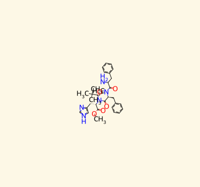 COC(=O)[C@H](Cc1c[nH]cn1)N(C(=O)[C@H](Cc1ccccc1)N(C)C(=O)[C@@H](N)Cc1ccccc1)C(=O)C(C)(C)C